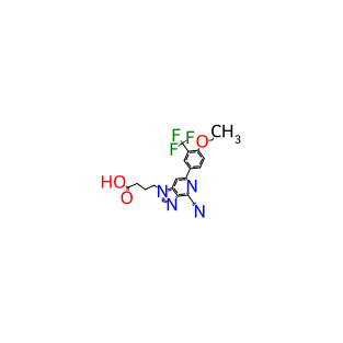 CCOc1ccc(-c2cc3c(ncn3CCCC(=O)O)c(C#N)n2)cc1C(F)(F)F